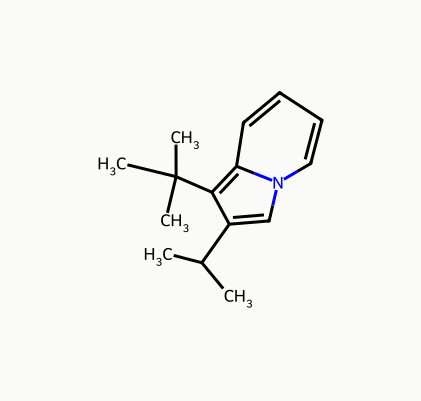 CC(C)c1cn2ccccc2c1C(C)(C)C